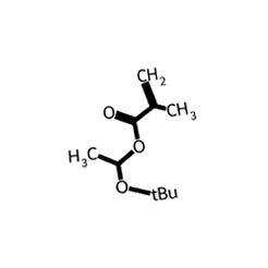 C=C(C)C(=O)OC(C)OC(C)(C)C